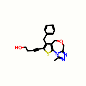 Cc1nnc2n1-c1sc(C#CCCO)c(Cc3ccccc3)c1COC2